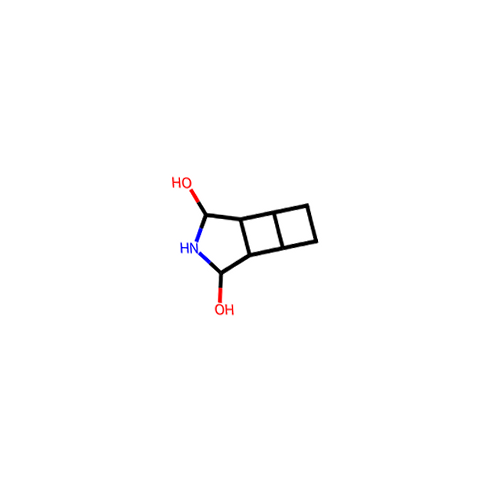 OC1NC(O)C2C3CCC3C12